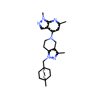 Cc1cc(N2CCc3c(c(C)nn3CC34CCC(C)(CC3)CC4)C2)c2cnn(C)c2n1